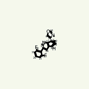 CC1(C)[C@H]2CC[C@]1(c1cocn1)c1nnc(-c3c(F)cccc3F)cc12